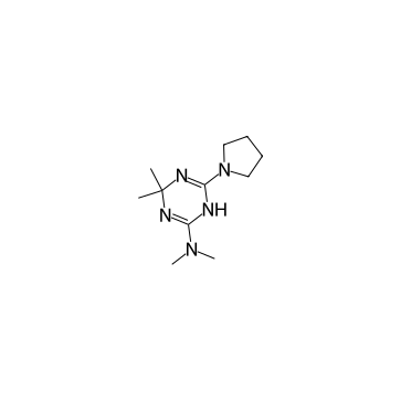 CN(C)C1=NC(C)(C)N=C(N2CCCC2)N1